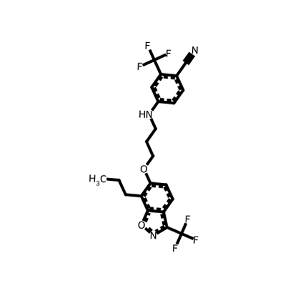 CCCc1c(OCCCNc2ccc(C#N)c(C(F)(F)F)c2)ccc2c(C(F)(F)F)noc12